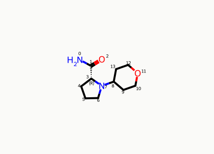 NC(=O)[C@H]1CCCN1C1CCOCC1